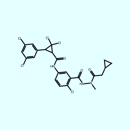 CN(NC(=O)c1cc(NC(=O)C2C(c3cc(Cl)cc(Cl)c3)C2(Cl)Cl)ccc1Cl)C(=O)CC1CC1